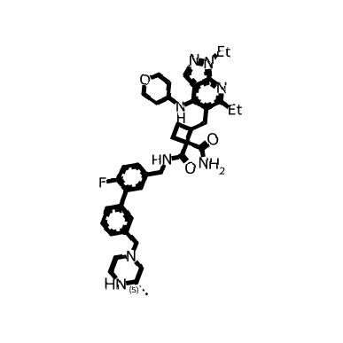 CCc1nc2c(cnn2CC)c(NC2CCOCC2)c1CC1CCC1(C(N)=O)C(=O)NCc1ccc(F)c(-c2cccc(CN3CCN[C@@H](C)C3)c2)c1